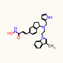 Cc1cn(CCN(Cc2ccc[nH]2)C2CCc3cc(/C=C/C(=O)NO)ccc32)c2ccccc12